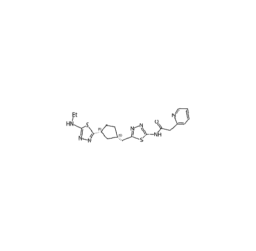 CCNc1nnc([C@@H]2CC[C@H](Cc3nnc(NC(=O)Cc4ccccn4)s3)C2)s1